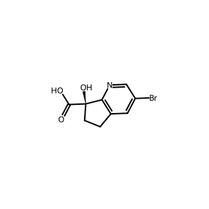 O=C(O)[C@@]1(O)CCc2cc(Br)cnc21